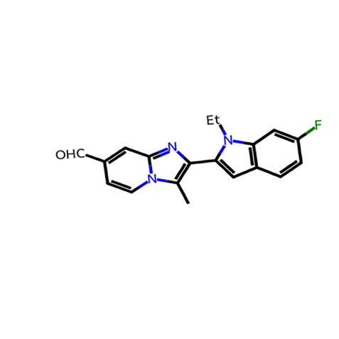 CCn1c(-c2nc3cc(C=O)ccn3c2C)cc2ccc(F)cc21